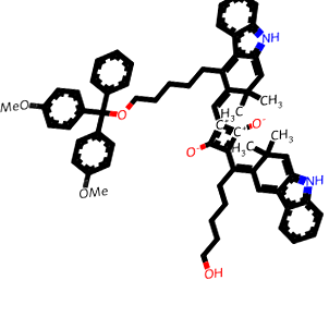 COc1ccc(C(OCCCCCC2=c3c([nH]c4ccccc34)=CC(C)(C)C2=C[c+]2c([O-])c(C(CCCCCO)=C3C=c4c([nH]c5ccccc45)=CC3(C)C)[c+]2[O-])(c2ccccc2)c2ccc(OC)cc2)cc1